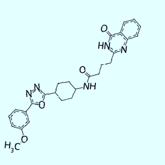 COc1cccc(-c2nnc(C3CCC(NC(=O)CCCc4nc5ccccc5c(=O)[nH]4)CC3)o2)c1